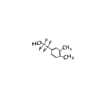 Cc1ccc(C(F)(F)C(O)(F)F)cc1C